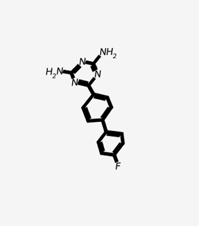 Nc1nc(N)nc(-c2ccc(-c3ccc(F)cc3)cc2)n1